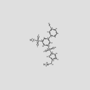 CS(=O)(=O)c1cc(-c2cccc(F)c2)cc(S(=O)(=O)c2cnc(CN)s2)c1